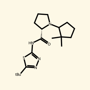 CC(C)(C)c1nnc(NC(=O)[C@@H]2CCCN2C2CCCC2(C)C)s1